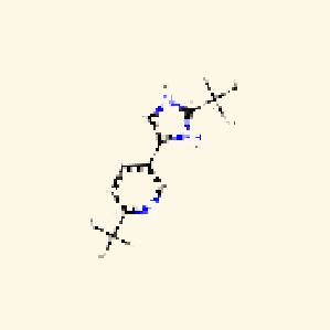 CC(C)(C)c1ccc(-c2cnc(C(C)(C)C)[nH]2)cn1